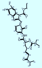 CCOC(=O)n1c(Cn2cccc(NC(=O)[C@H](CC/C=C/C(=O)N(C)C)OC(=O)N(C)C)c2=O)nc2cc(F)c(F)cc21